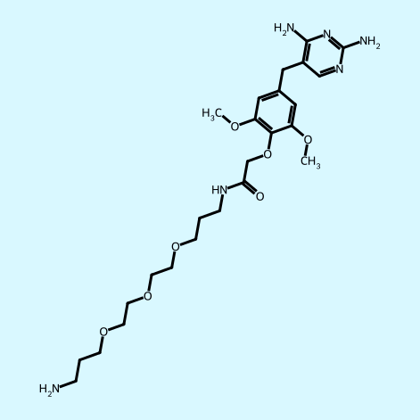 COc1cc(Cc2cnc(N)nc2N)cc(OC)c1OCC(=O)NCCCOCCOCCOCCCN